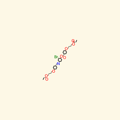 C=CC(=O)OCCCCOc1ccc(/C=N/c2ccc(OC(=O)c3ccc(OCCCCOC(=O)C=C)cc3)c(Br)c2)cc1